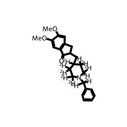 [2H]C([2H])(c1ccccc1)N1C([2H])([2H])C([2H])([2H])C([2H])(CC2Cc3cc(OC)c(OC)cc3C2=O)C([2H])([2H])C1([2H])[2H]